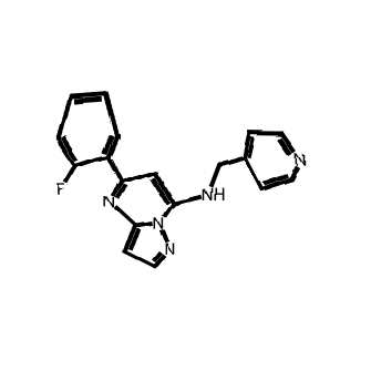 Fc1ccccc1-c1cc(NCc2ccncc2)n2nccc2n1